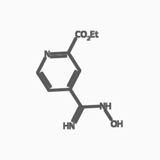 CCOC(=O)c1cc(C(=N)NO)ccn1